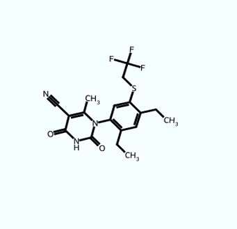 CCc1cc(CC)c(-n2c(C)c(C#N)c(=O)[nH]c2=O)cc1SCC(F)(F)F